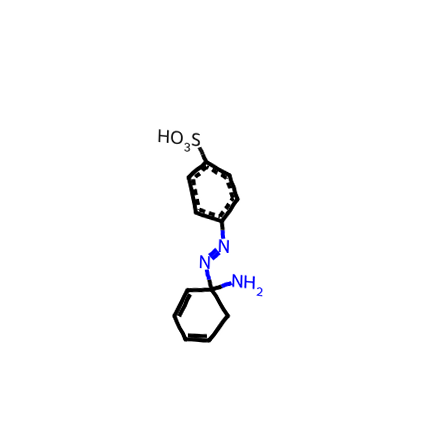 NC1(/N=N/c2ccc(S(=O)(=O)O)cc2)C=CC=CC1